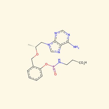 C[C@H](Cn1cnc2c(N)ncnc21)OCc1ccccc1O[PH](=O)NCCC(=O)O